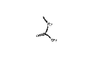 [CH3][Pb][C](=O)O